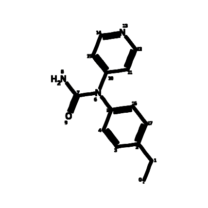 [CH2]Cc1ccc(N(C(N)=O)c2ccncc2)cc1